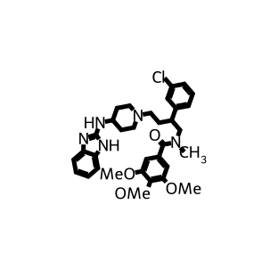 COc1cc(C(=O)N(C)CC(CCN2CCC(Nc3nc4ccccc4[nH]3)CC2)c2cccc(Cl)c2)cc(OC)c1OC